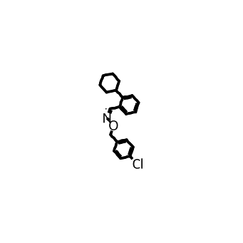 Clc1ccc(CO/N=[C]\c2ccccc2C2CCCCC2)cc1